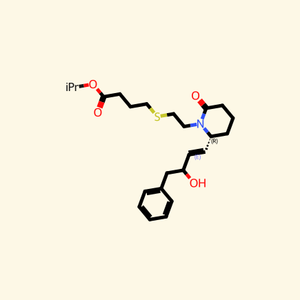 CC(C)OC(=O)CCCSCCN1C(=O)CCC[C@@H]1/C=C/C(O)Cc1ccccc1